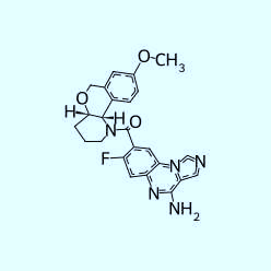 COc1ccc2c(c1)CO[C@H]1CCCN(C(=O)c3cc4c(cc3F)nc(N)c3cncn34)[C@@H]21